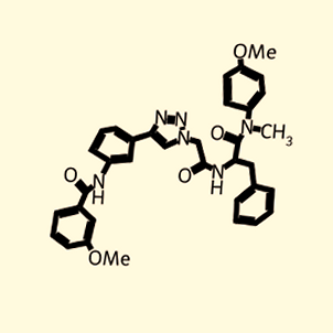 COc1ccc(N(C)C(=O)C(Cc2ccccc2)NC(=O)Cn2cc(-c3cccc(NC(=O)c4cccc(OC)c4)c3)nn2)cc1